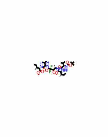 CC[C@H](C)[C@H](NC(=O)[C@@H](NC(=O)OC(C)(C)C)C(C)C)C(=O)N[C@@H](C)C(=O)C(F)(F)C(=O)N[C@H](C(=O)N[C@H](C(=O)OC)[C@@H](C)CC)C(C)C